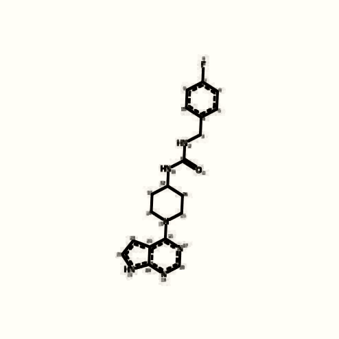 O=C(NCc1ccc(F)cc1)NC1CCN(c2ncnc3[nH]ccc23)CC1